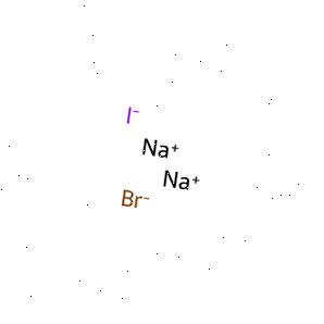 [Br-].[I-].[Na+].[Na+]